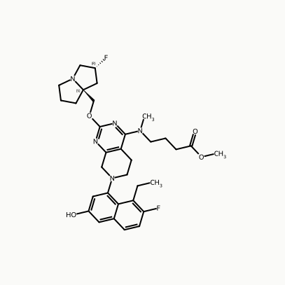 CCc1c(F)ccc2cc(O)cc(N3CCc4c(nc(OC[C@@]56CCCN5C[C@H](F)C6)nc4N(C)CCCC(=O)OC)C3)c12